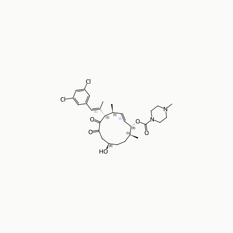 C/C(=C\c1cc(Cl)cc(Cl)c1)[C@H]1C(=O)C(=O)C[C@H](O)CC[C@H](C)[C@@H](OC(=O)N2CCN(C)CC2)/C=C/[C@@H]1C